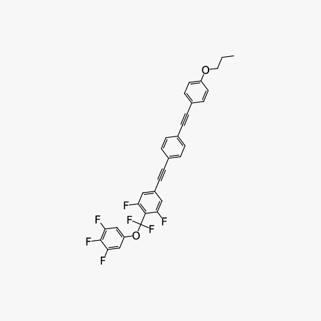 CCCOc1ccc(C#Cc2ccc(C#Cc3cc(F)c(C(F)(F)Oc4cc(F)c(F)c(F)c4)c(F)c3)cc2)cc1